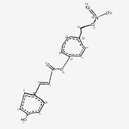 O=C(/C=C/c1ccc(O)cc1)Oc1ccc(CO[N+](=O)[O-])cc1